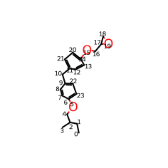 CCC(C)COc1ccc(Cc2ccc(OCC3CO3)cc2)cc1